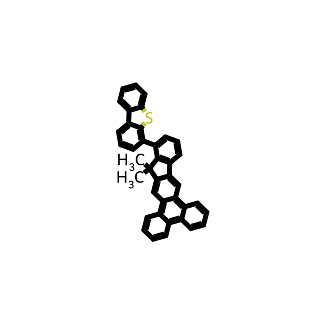 CC1(C)c2cc3c4ccccc4c4ccccc4c3cc2-c2cccc(-c3cccc4c3sc3ccccc34)c21